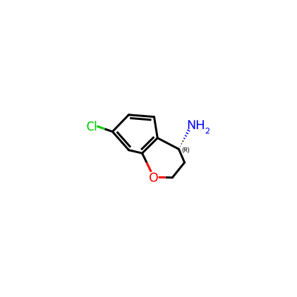 N[C@@H]1CCOc2cc(Cl)ccc21